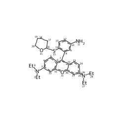 CCN(CC)c1ccc2c(-c3cc(N)ccc3SC3CCCCO3)c3ccc(=[N+](CC)CC)cc-3oc2c1